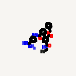 CC(C)CNC(=O)c1ccc(-c2ccccc2C(=O)Nc2ccc(C(=N)N)cc2)c(C(=O)OCc2ccccc2)c1